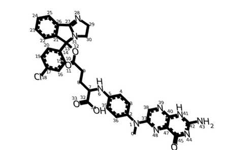 CN(c1ccc(NC(CCC(=O)OC2(c3ccc(Cl)cc3)c3ccccc3C3=NCCN32)C(=O)O)cc1)c1cnc2[nH]c(N)nc(=O)c2n1